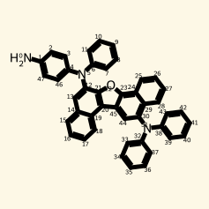 Nc1ccc(N(c2ccccc2)c2cc3ccccc3c3c2oc2c4ccccc4c(N(c4ccccc4)c4ccccc4)cc23)cc1